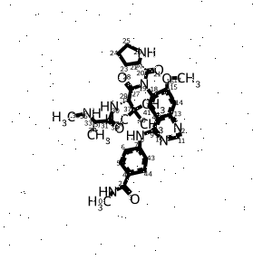 CNC(=O)c1ccc(Nc2ncnc3cc(OC)c(N(C(=O)[C@@H]4CCCN4)C(=O)[C@@H](NC(=O)[C@H](C)NC)C(C)(C)C)cc23)cc1